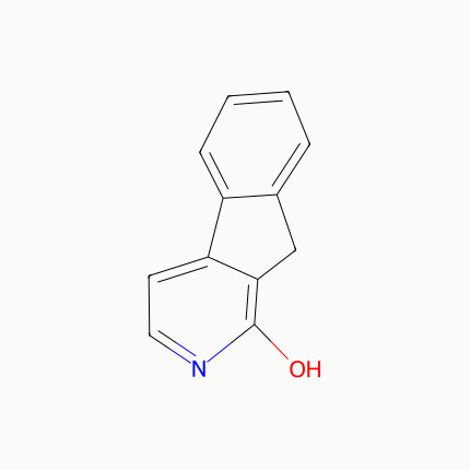 Oc1nccc2c1Cc1ccccc1-2